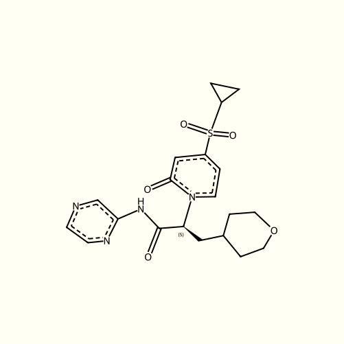 O=C(Nc1cnccn1)[C@H](CC1CCOCC1)n1ccc(S(=O)(=O)C2CC2)cc1=O